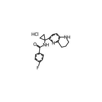 Cl.O=C(NC1(c2ccc3c(n2)CCCN3)CC1)c1ccc(F)cc1